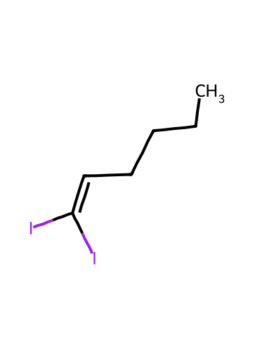 CCCCC=C(I)I